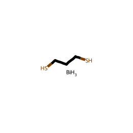 SCCCS.[BiH3]